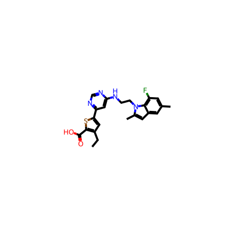 CCc1cc(-c2cc(NCCn3c(C)cc4cc(C)cc(F)c43)ncn2)sc1C(=O)O